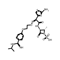 CC(C)NC(=N)c1ccc(OCCO/N=C(\C(=O)N[C@@H]2C(=O)N(S(=O)(=O)O)[C@H]2C)c2csc(N)n2)cc1